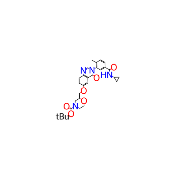 Cc1ccc(C(=O)NC2CC2)cc1-n1cnc2ccc(OCC3CN(C(=O)OC(C)(C)C)CCO3)cc2c1=O